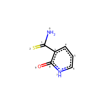 NC(=S)c1ccc[nH]c1=O